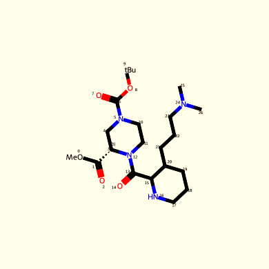 COC(=O)[C@@H]1CN(C(=O)OC(C)(C)C)CCN1C(=O)C1NCCCC1CCCN(C)C